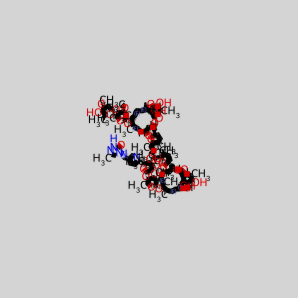 CC1=NNC(=O)N(/N=C/c2cccnc2)C1.CC[C@H](C)[C@H]1O[C@]2(C=C[C@@H]1C)C[C@@H]1C[C@@H](C/C=C(\C)[C@@H](O[C@H]3C[C@H](OC)[C@@H](O[C@H]4C[C@H](OC)[C@@H](O)[C@H](C)O4)[C@H](C)O3)[C@@H](C)/C=C/C=C3\CO[C@@H]4[C@H](O)C(C)=C[C@@H](C(=O)O1)[C@]34O)O2.CO[C@H]1C[C@H](O[C@H]2[C@H](C)O[C@@H](O[C@@H]3/C(C)=C/C[C@@H]4C[C@@H](C[C@]5(C=C[C@H](C)[C@@H](C(C)C)O5)O4)OC(=O)[C@@H]4C=C(C)[C@@H](O)[C@H]5OC/C(=C\C=C\[C@@H]3C)[C@]54O)C[C@@H]2OC)O[C@@H](C)[C@@H]1O